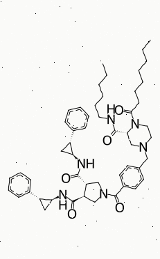 CCCCCCCC(=O)N1CCN(Cc2ccc(C(=O)N3C[C@@H](C(=O)N[C@H]4C[C@@H]4c4ccccc4)[C@H](C(=O)N[C@H]4C[C@@H]4c4ccccc4)C3)cc2)C[C@@H]1C(=O)NCCCCCC